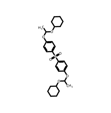 CC(Oc1ccc(S(=O)(=O)c2ccc(OC(C)OC3CCCCC3)cc2)cc1)OC1CCCCC1